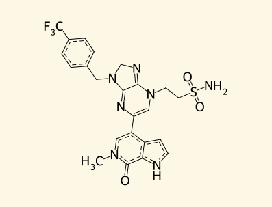 Cn1cc(C2=CN(CCS(N)(=O)=O)C3=NCN(Cc4ccc(C(F)(F)F)cc4)C3=N2)c2cc[nH]c2c1=O